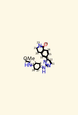 COCCN[C@H]1CC[C@H](Nc2nccc(-c3ccc4c(c3)CCN(C)C4=O)n2)CC1